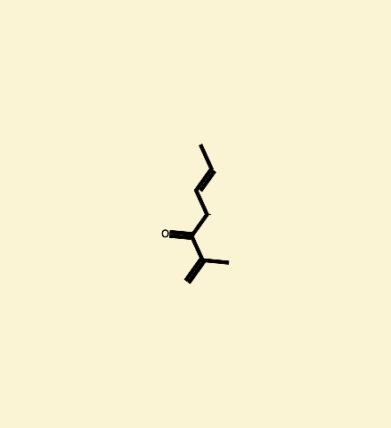 C=C(C)C(=O)[CH]C=CC